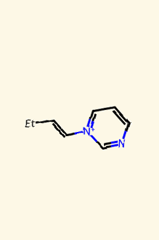 CC/C=C/[n+]1cccnc1